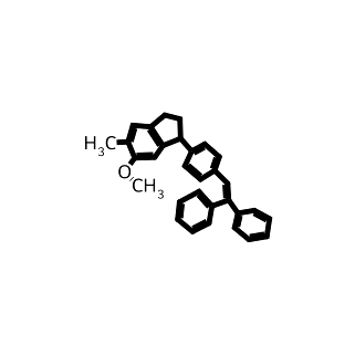 COc1cc2c(cc1C)CCC2c1ccc(C=C(c2ccccc2)c2ccccc2)cc1